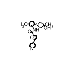 Cc1ccc(N2CCC(C)(O)CC2)c(NC(=O)c2ccc(-c3ccncc3)o2)c1